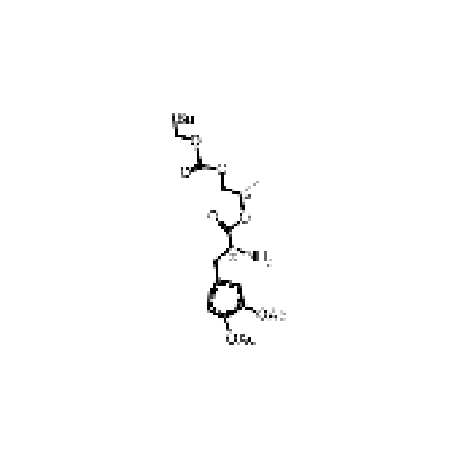 CC(=O)Oc1ccc(C[C@H](N)C(=O)O[C@@H](C)COC(=O)OCC(C)(C)C)cc1OC(C)=O